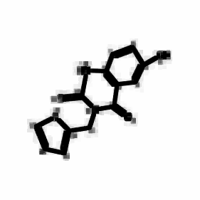 O=c1c2cc(O)ccc2[nH]c(=S)n1Cc1cccs1